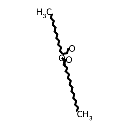 CCCCCCCCCCCCCCCCC(=O)OC(CC=O)CCCCCCCCCCCCC